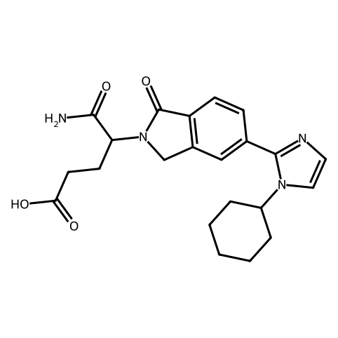 NC(=O)C(CCC(=O)O)N1Cc2cc(-c3nccn3C3CCCCC3)ccc2C1=O